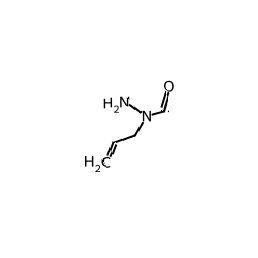 C=CCN(N)[C]=O